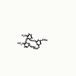 CNCc1cc(OC)cc(OC)c1.CSc1ncc(C(=O)O)c(Oc2ccccc2C)n1